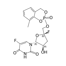 Cc1cccc2c1OP(=O)(OC[C@]1(F)C[C@@H](O)[C@H](n3cc(F)c(=O)[nH]c3=O)O1)OC2